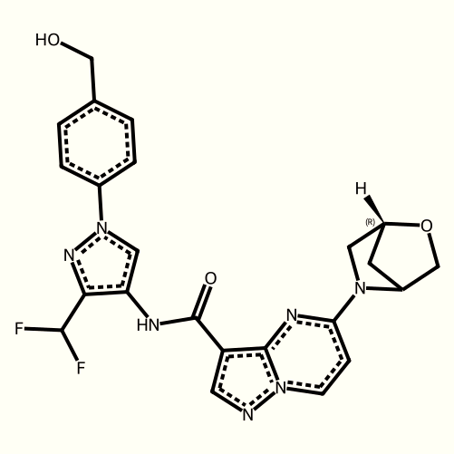 O=C(Nc1cn(-c2ccc(CO)cc2)nc1C(F)F)c1cnn2ccc(N3C[C@H]4CC3CO4)nc12